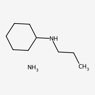 CCCNC1CCCCC1.N